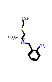 Nc1ccccc1CN[C@@H](CSCC(=O)O)C(=O)O